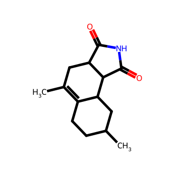 CC1=C2CCC(C)CC2C2C(=O)NC(=O)C2C1